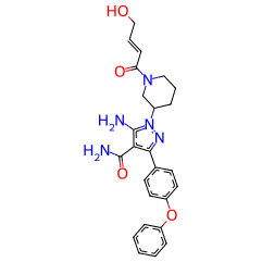 NC(=O)c1c(-c2ccc(Oc3ccccc3)cc2)nn(C2CCCN(C(=O)/C=C/CO)C2)c1N